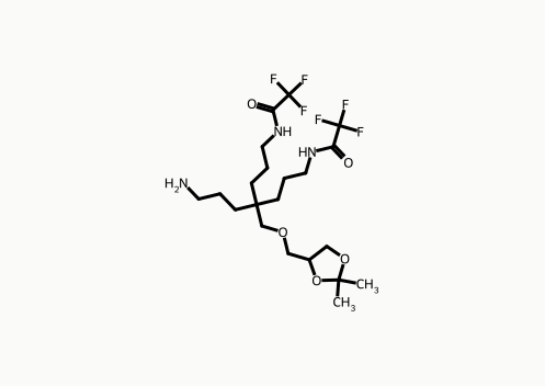 CC1(C)OCC(COCC(CCCN)(CCCNC(=O)C(F)(F)F)CCCNC(=O)C(F)(F)F)O1